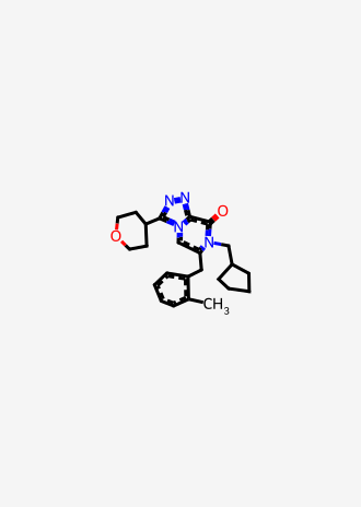 Cc1ccccc1Cc1cn2c(C3CCOCC3)nnc2c(=O)n1CC1CCCC1